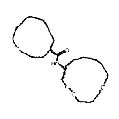 O=C(NC1CCCCCCCCCCCC1)C1CCCCCCCCCCC1